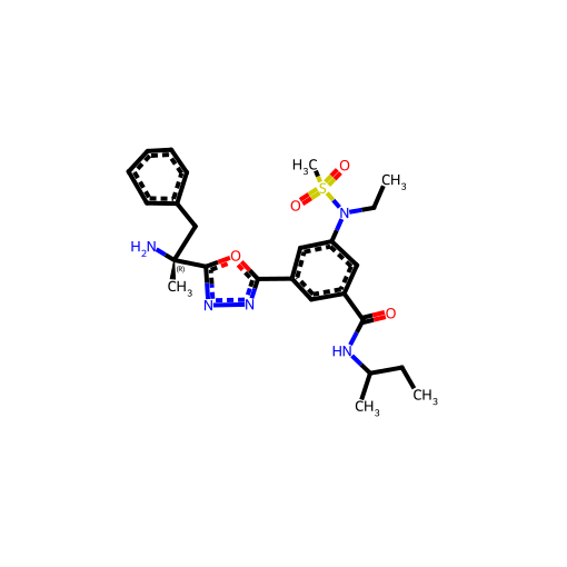 CCC(C)NC(=O)c1cc(-c2nnc([C@](C)(N)Cc3ccccc3)o2)cc(N(CC)S(C)(=O)=O)c1